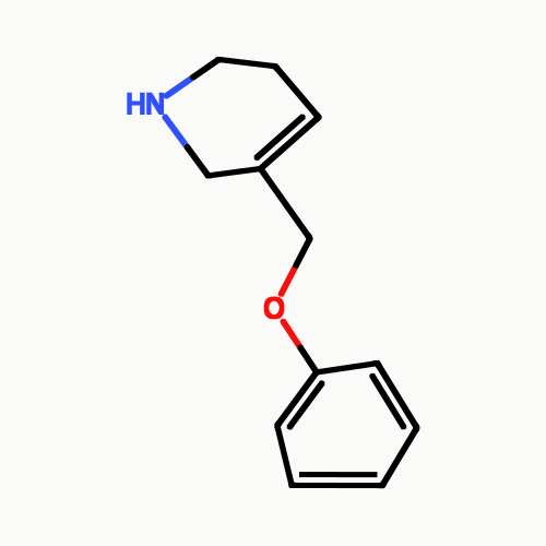 C1=C(COc2ccccc2)CNCC1